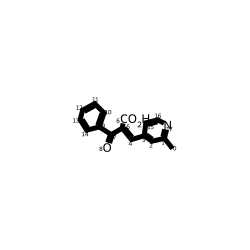 Cc1cc(/C=C(\C(=O)O)C(=O)c2ccccc2)ccn1